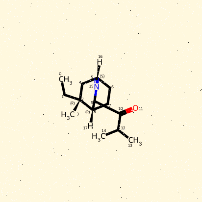 CC[C@]1(C)C[C@@H]2CC[C@H]1C(C(=O)C(C)C)N2